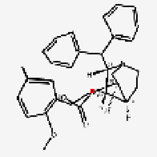 COc1ccc(C)cc1CN[C@H]1[C@@H]2CCN(C[C@@H]2OC(=O)O)[C@H]1C(c1ccccc1)c1ccccc1